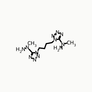 CN(N)c1nnnn1CCCCn1nnnc1N(C)N